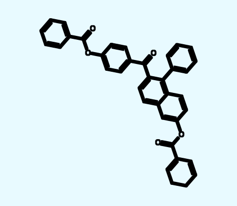 O=C(Oc1ccc2c(-c3ccccc3)c(C(=O)c3ccc(OC(=O)c4ccccc4)cc3)ccc2c1)C1=CCCC=C1